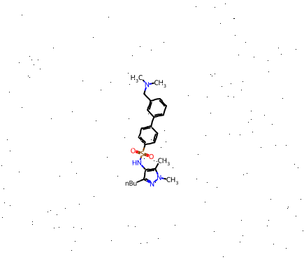 CCCCc1nn(C)c(C)c1NS(=O)(=O)c1ccc(-c2cccc(CN(C)C)c2)cc1